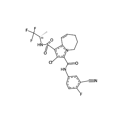 C[C@H](NS(=O)(=O)c1c(Cl)c(C(=O)Nc2ccc(F)c(C#N)c2)n2c1C=CCCC2)C(F)(F)F